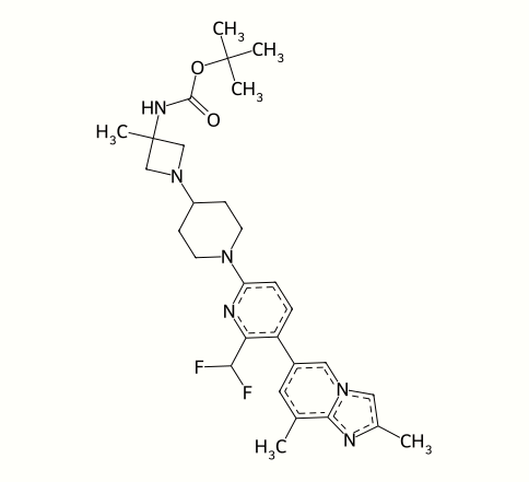 Cc1cn2cc(-c3ccc(N4CCC(N5CC(C)(NC(=O)OC(C)(C)C)C5)CC4)nc3C(F)F)cc(C)c2n1